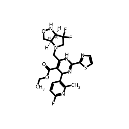 CCOC(=O)C1=C(CN2CC(F)(F)[C@@H]3NOC[C@@H]32)NC(c2nccs2)=NC1c1ccc(F)nc1C